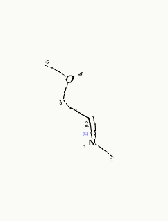 C/N=C/COC